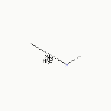 CCCCCCCC/C=C\CCCCCCCC(CCCCCCCCCCCCCC)OC(=NC(C)C)NC(C)C